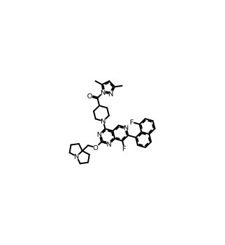 Cc1cc(C)n(C(=O)C2CCN(c3nc(OCC45CCCN4CCC5)nc4c(F)c(-c5cccc6cccc(F)c56)ncc34)CC2)n1